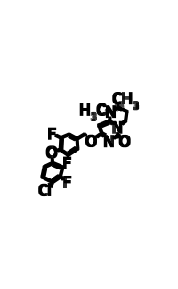 C[C@H]1CCn2c(cc(OCc3cc(F)c(Oc4ccc(Cl)c(F)c4)c(F)c3)nc2=O)N1C